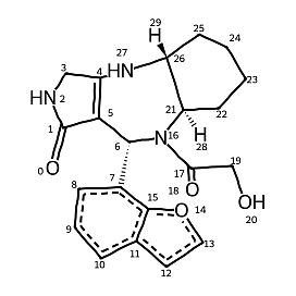 O=C1NCC2=C1[C@@H](c1cccc3ccoc13)N(C(=O)CO)[C@@H]1CCCC[C@H]1N2